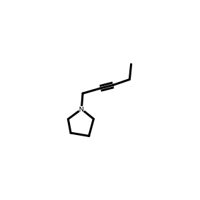 CCC#CCN1CCCC1